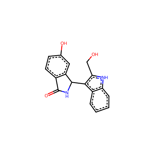 O=C1NC(c2c(CO)[nH]c3ccccc23)c2cc(O)ccc21